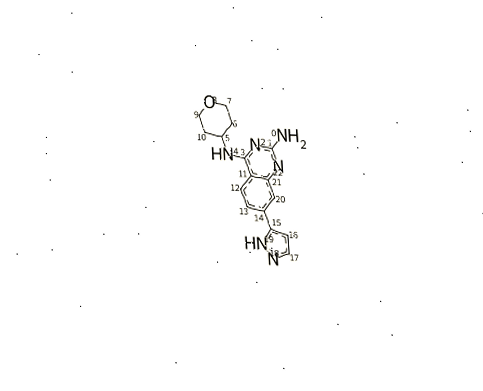 Nc1nc(NC2CCOCC2)c2ccc(-c3ccn[nH]3)cc2n1